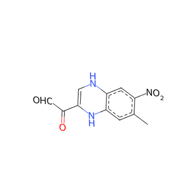 Cc1cc2c(cc1[N+](=O)[O-])NC=C(C(=O)C=O)N2